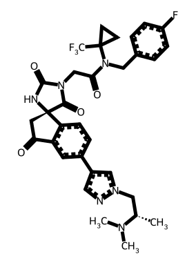 C[C@@H](Cn1cc(-c2ccc3c(c2)C(=O)C[C@]32NC(=O)N(CC(=O)N(Cc3ccc(F)cc3)C3(C(F)(F)F)CC3)C2=O)cn1)N(C)C